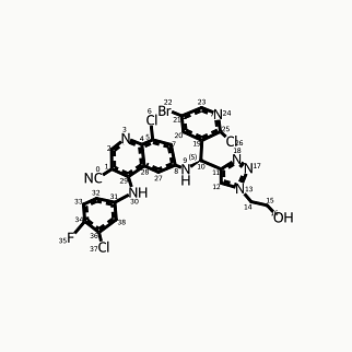 N#Cc1cnc2c(Cl)cc(N[C@H](c3cn(CCO)nn3)c3cc(Br)cnc3Cl)cc2c1Nc1ccc(F)c(Cl)c1